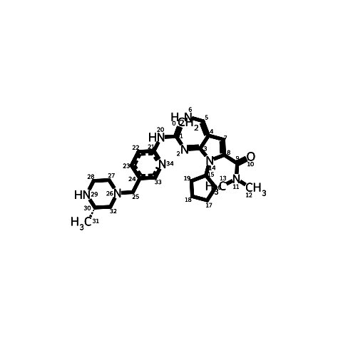 C=C(/N=C1\C(=C/N)C=C(C(=O)N(C)C)N1C1CCCC1)Nc1ccc(CN2CCN[C@@H](C)C2)cn1